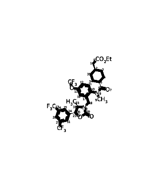 CCOC(=O)C[C@H]1CC[C@H](C(=O)N(C)c2ccc(OC(F)(F)F)cc2CN2C(=O)O[C@H](c3cc(C(F)(F)F)cc(C(F)(F)F)c3)[C@@H]2C)CC1